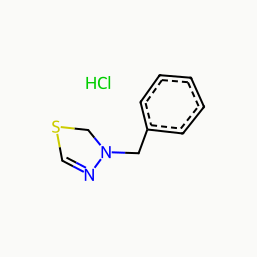 C1=NN(Cc2ccccc2)CS1.Cl